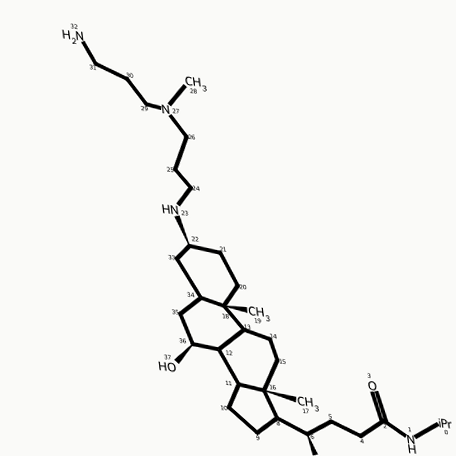 CC(C)NC(=O)CC[C@@H](C)C1CCC2C3C(CC[C@@]21C)[C@@]1(C)CC[C@H](NCCCN(C)CCCN)CC1C[C@@H]3O